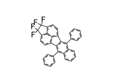 FC1(F)c2ccc3c4c(ccc(c24)C1(F)F)-c1c-3c(-c2ccccc2)c2ccccc2c1-c1ccccc1